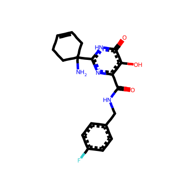 NC1(c2nc(C(=O)NCc3ccc(F)cc3)c(O)c(=O)[nH]2)CC=CCC1